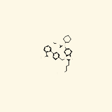 CCCCc1nc2ccc(N(C(=O)OCC)C3CCCCC3)cc2n1Cc1ccc(-c2ccccc2C(=O)O)cc1